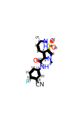 C[C@H]1C=Cc2c(cn(C)c2C(=O)Nc2ccc(F)c(C#N)c2)S(=O)(=O)N1